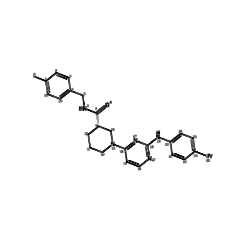 Cc1ccc(CNC(=O)[C@H]2CCCN(c3ccnc(Nc4ccc(C(C)C)cc4)n3)C2)cc1